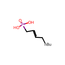 CCCCC/C=C/CP(=O)(O)O